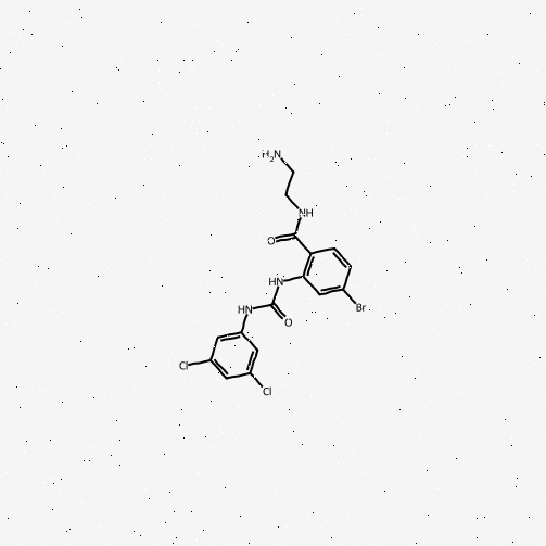 NCCNC(=O)c1ccc(Br)cc1NC(=O)Nc1cc(Cl)cc(Cl)c1